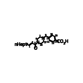 CCCCCCC/C=C/C(=O)N1CCN(Cc2ccc(C(=O)O)cc2)CC1